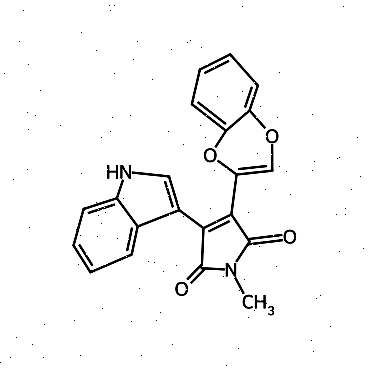 CN1C(=O)C(C2=COc3ccccc3O2)=C(c2c[nH]c3ccccc23)C1=O